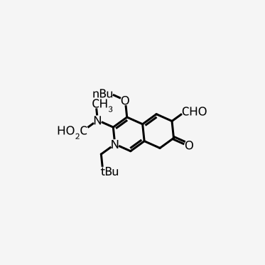 CCCCOC1=C(N(C)C(=O)O)N(CC(C)(C)C)C=C2CC(=O)C(C=O)C=C21